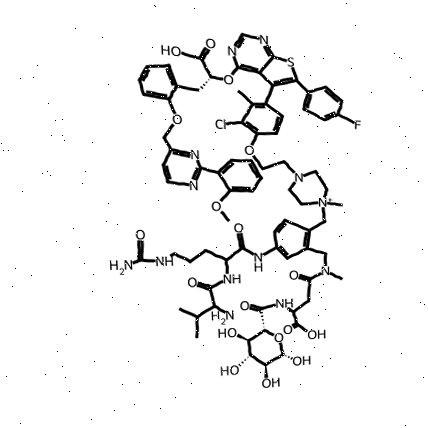 COc1ccccc1-c1nccc(COc2ccccc2C[C@@H](Oc2ncnc3sc(-c4ccc(F)cc4)c(-c4ccc(OCCN5CC[N+](C)(Cc6ccc(NC(=O)C(CCCNC(N)=O)NC(=O)C(N)C(C)C)cc6CN(C)C(=O)CC(NC(=O)[C@@H]6O[C@H](O)[C@@H](O)[C@H](O)[C@H]6O)C(=O)O)CC5)c(Cl)c4C)c23)C(=O)O)n1